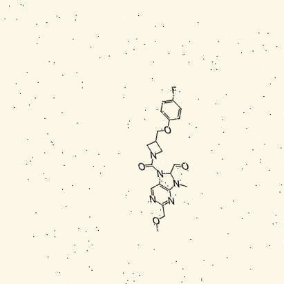 COCc1ncc2c(n1)N(C)C(C=O)N2C(=O)N1CC(COc2ccc(F)cc2)C1